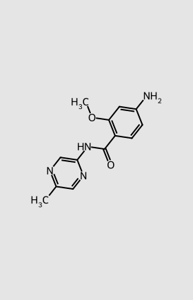 COc1cc(N)ccc1C(=O)Nc1cnc(C)cn1